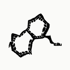 CC(C)(C)c1cccc2cncnc12